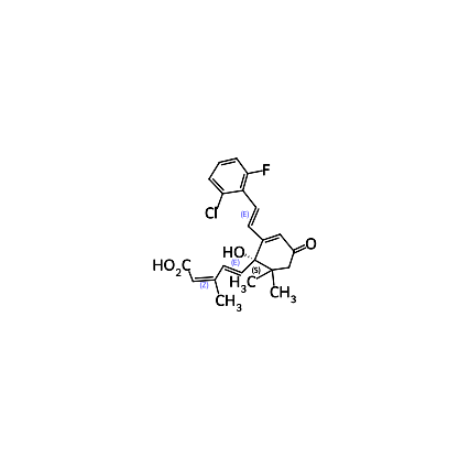 CC(=C/C(=O)O)/C=C/[C@@]1(O)C(/C=C/c2c(F)cccc2Cl)=CC(=O)CC1(C)C